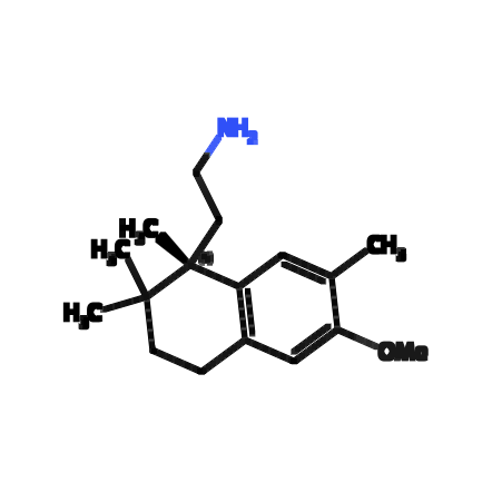 COc1cc2c(cc1C)[C@@](C)(CCN)C(C)(C)CC2